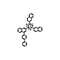 c1ccc(-c2ccc(-c3cc(-c4nc(-c5ccc6ccccc6c5)nc(-c5ccc6ccccc6c5)n4)cc4ccccc34)cc2)cc1